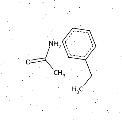 CC(N)=O.CCc1ccccc1